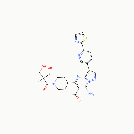 CC(=O)c1c(C2CCN(C(=O)C(C)(CO)CO)CC2)nc2c(-c3ccc(-c4nccs4)nc3)cnn2c1N